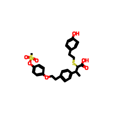 CC(c1ccc(CCOc2ccc(OS(C)(=O)=O)cc2)cc1)[C@@H](SCCc1ccc(O)cc1)C(=O)O